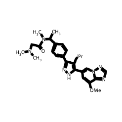 COc1cc(-c2[nH]nc(-c3ccc(C(C)N(C)C(=O)CN(C)C)cc3)c2C(C)C)cn2ncnc12